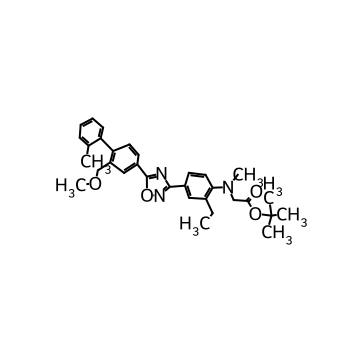 CCc1cc(-c2noc(-c3ccc(-c4ccccc4C)c(COC)c3)n2)ccc1N(C)CC(=O)OC(C)(C)C